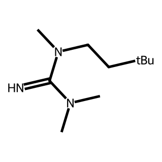 CN(C)C(=N)N(C)CCC(C)(C)C